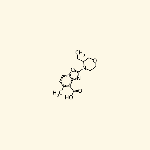 CCC1COCCN1c1nc2c(C(=O)O)c(C)ccc2o1